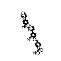 N#Cc1cc(-c2ccnc(Nc3ccc(N4CCOCC4)cc3)n2)ccc1OCC1CCN(C(=O)CO)CC1